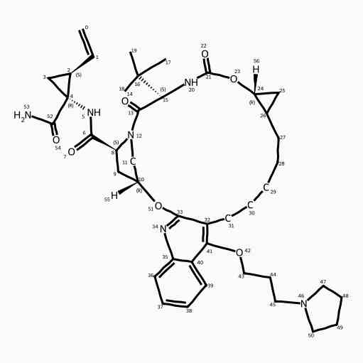 C=C[C@@H]1C[C@]1(NC(=O)[C@@H]1C[C@@H]2CN1C(=O)[C@H](C(C)(C)C)NC(=O)O[C@@H]1CC1CCCCCc1c(nc3ccccc3c1OCCCN1CCCC1)O2)C(N)=O